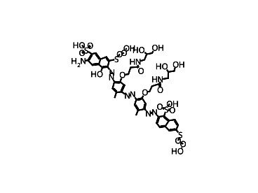 Cc1cc(N=Nc2c(SOOO)cc3cc(S(=O)(=O)O)c(N)cc3c2O)c(OCCC(=O)NCC(O)CO)cc1N=Nc1cc(C)c(N=Nc2ccc3cc(SOOO)ccc3c2S(=O)(=O)O)cc1OCCC(=O)NCC(O)CO